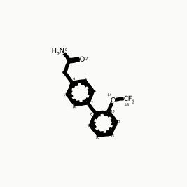 NC(=O)[CH]c1ccc(-c2ccccc2OC(F)(F)F)cc1